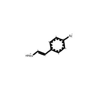 CCCCCCC=Cc1ccc(C(C)=O)cc1